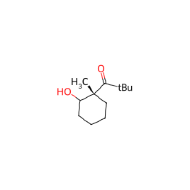 CC(C)(C)C(=O)[C@]1(C)CCCCC1O